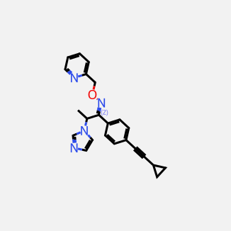 CC(/C(=N\OCc1ccccn1)c1ccc(C#CC2CC2)cc1)n1ccnc1